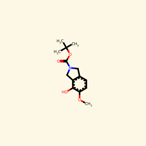 COc1ccc2c(c1O)CN(C(=O)OC(C)(C)C)C2